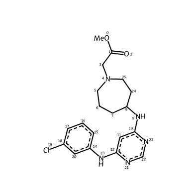 COC(=O)CN1CCCC(Nc2cc(Nc3cccc(Cl)c3)ncn2)CC1